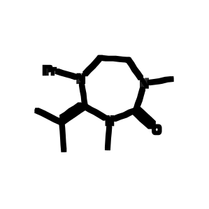 CC(C)=C1N(C)C(=O)N(C)CCN1C(C)C